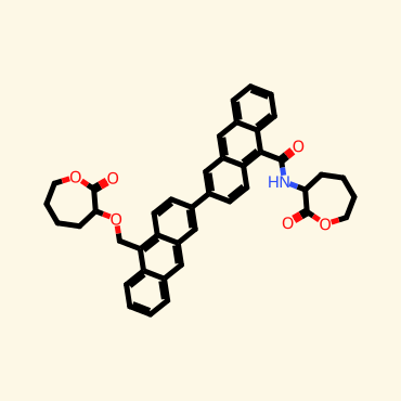 O=C(NC1CCCCOC1=O)c1c2ccccc2cc2cc(-c3ccc4c(COC5CCCCOC5=O)c5ccccc5cc4c3)ccc12